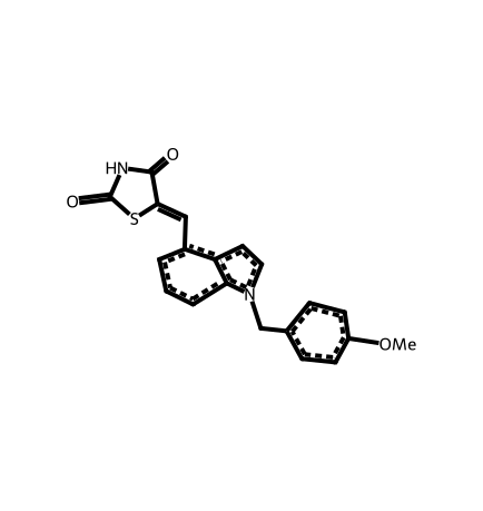 COc1ccc(Cn2ccc3c(C=C4SC(=O)NC4=O)cccc32)cc1